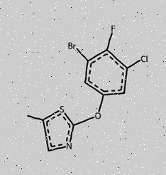 Cc1cnc(Oc2cc(Cl)c(F)c(Br)c2)s1